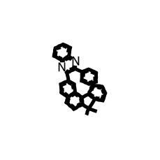 CC1(C)c2ccccc2-c2c1ccc1ccc(-c3nc4ccccc4nc3-c3ccccc3)cc21